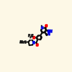 CSC1CCN(C(=O)c2ccc(-c3cn(C)c(=O)c4[nH]ncc34)cc2OC(F)(F)F)CC1